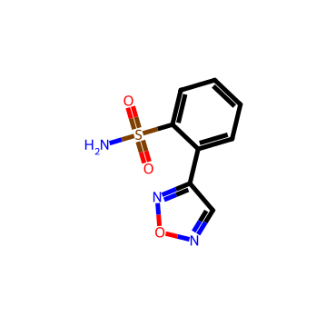 NS(=O)(=O)c1ccccc1-c1cnon1